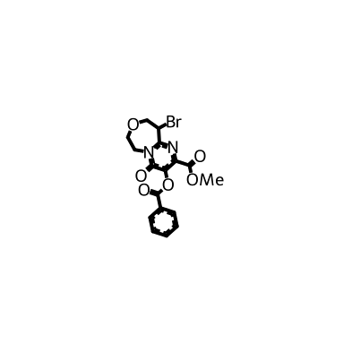 COC(=O)c1nc2n(c(=O)c1OC(=O)c1ccccc1)CCOCC2Br